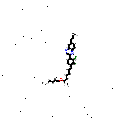 C=CCc1ccc2nc(-c3ccc(C=CCCCC(C)OCCCCC)c(F)c3F)cnc2c1